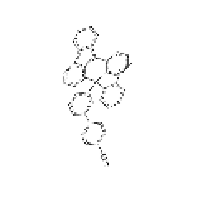 CSc1ccccc1C1(c2cccc(-c3ccc(C#N)cc3)c2)c2ccccc2-n2c3ccccc3c3cccc1c32